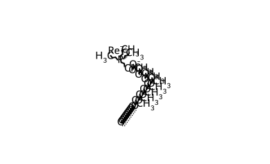 CC(=O)[O-].CC(=O)[O-].CC(=O)[O-].CC(=O)[O-].CC(=O)[O-].CC(=O)[O-].CC(=O)[O-].CC(=O)[O-].CCCC[P+](CCCC)(CCCC)CCCC.[C]=O.[C]=O.[C]=O.[C]=O.[C]=O.[C]=O.[C]=O.[C]=O.[C]=O.[C]=O.[Re+7]